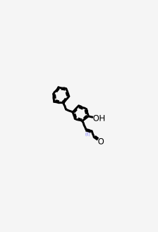 O=C/C=C/c1cc(Cc2ccccc2)ccc1O